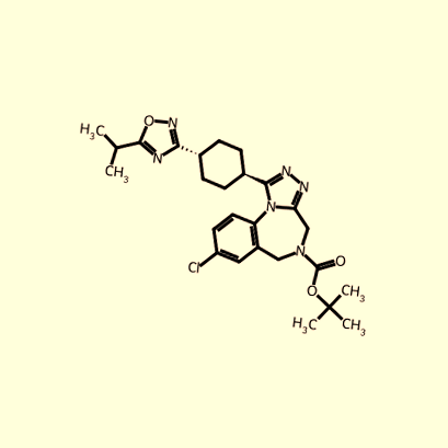 CC(C)c1nc([C@H]2CC[C@H](c3nnc4n3-c3ccc(Cl)cc3CN(C(=O)OC(C)(C)C)C4)CC2)no1